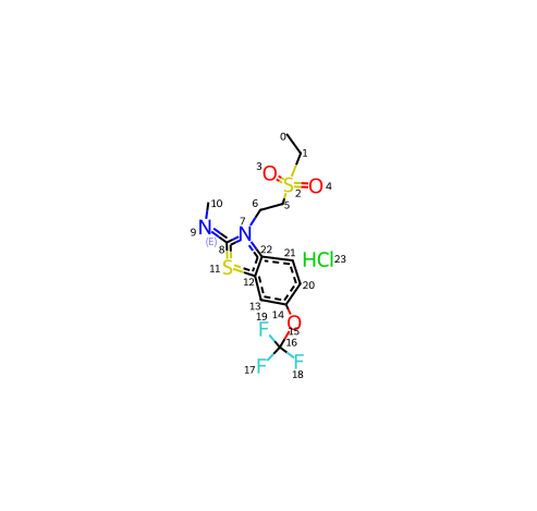 CCS(=O)(=O)CCn1/c(=N\C)sc2cc(OC(F)(F)F)ccc21.Cl